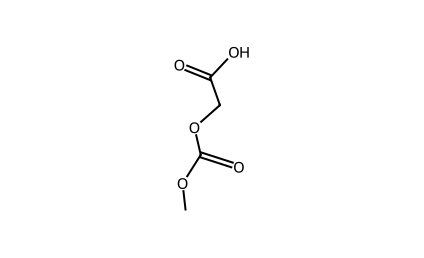 COC(=O)OCC(=O)O